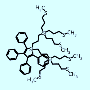 CSCCC[Si](CCCSC)(CCCSC)CCC[Si]1(CCC[Si](CCCSC)(CCCSC)CCCSC)C(c2ccccc2)=C(c2ccccc2)C(c2ccccc2)=C1c1ccccc1